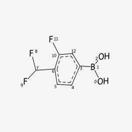 OB(O)c1ccc(C(F)F)c(F)c1